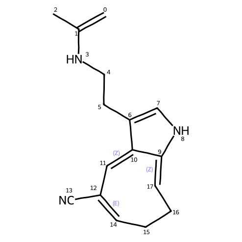 C=C(C)NCCc1c[nH]c2/c1=C\C(C#N)=C/CC/C=2